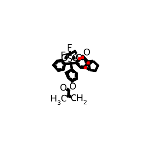 C=C(C)C(=O)Oc1ccc(C(c2ccccc2)(c2ccccc2)S(=O)(=O)C(F)(F)COC(=O)C2CC3CCC2C3)cc1